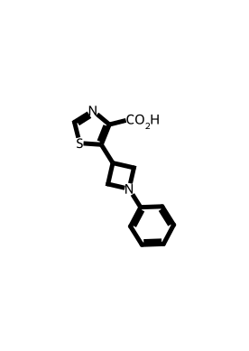 O=C(O)c1ncsc1C1CN(c2ccccc2)C1